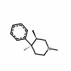 C[C@H]1CN(C)CC[C@@]1(C)c1ccccc1